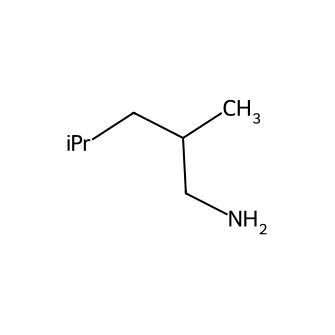 CC(C)CC(C)CN